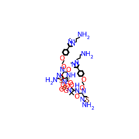 C[n+]1cc(-c2ccc(OCCO/N=C(\C(=O)N[C@@H]3C(=O)N(OS(=O)(=O)ON4C(=O)[C@@H](NC(=O)/C(=N\OCCOc5ccc(-c6cn(CCCN)[n+](C)c6)cc5)c5csc(N)n5)C4(C)C)C3(C)C)c3csc(N)n3)cc2)cn1CCCN